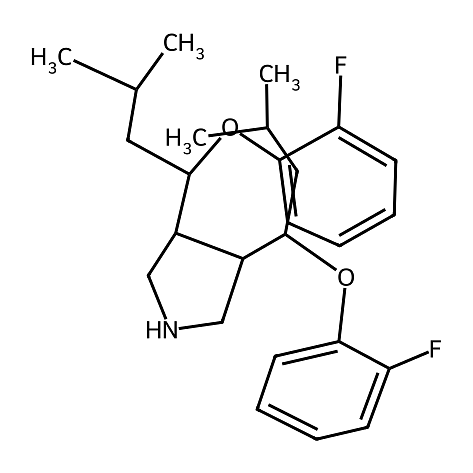 CC(C)CC(Oc1ccccc1F)C1CNCC1C(CC(C)C)Oc1ccccc1F